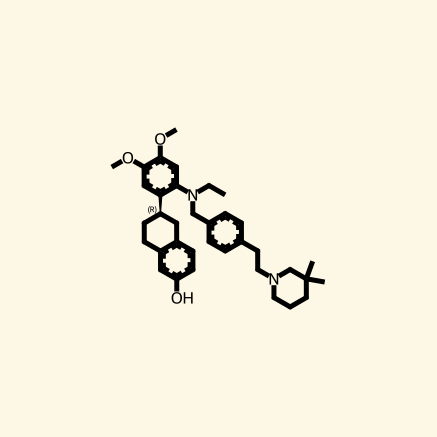 CCN(Cc1ccc(CCN2CCCC(C)(C)C2)cc1)c1cc(OC)c(OC)cc1[C@@H]1CCc2cc(O)ccc2C1